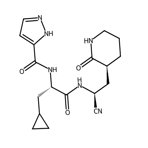 N#C[C@H](C[C@@H]1CCCNC1=O)NC(=O)[C@H](CC1CC1)NC(=O)c1ccn[nH]1